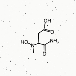 CN(O)[C@@H](CC(=O)O)C(N)=O